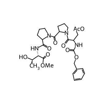 COC(=O)[C@@H](NC(=O)C1CCCN1C(=O)C1CCCN1C(=O)C(COC(C)=O)NC(=O)OCc1ccccc1)[C@@H](C)O